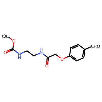 CC(C)(C)OC(=O)NCCNC(=O)COc1ccc(C=O)cc1